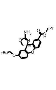 CCCNC(=O)c1ccc2c(c1)[C@@]1(COC(N)=N1)c1cc(OCC(C)(C)C)ccc1O2